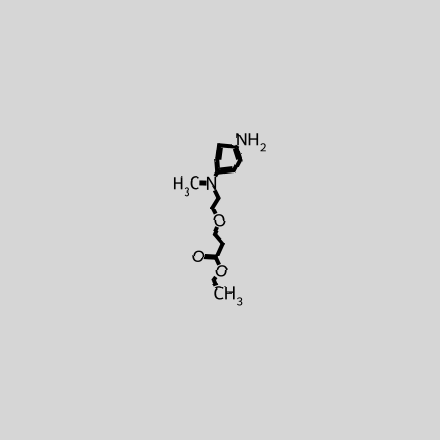 CCOC(=O)CCOCCN(C)c1ccc(N)cc1